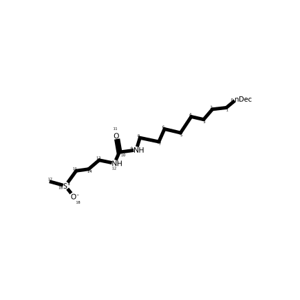 CCCCCCCCCCCCCCCCCCNC(=O)NCCC[S+](C)[O-]